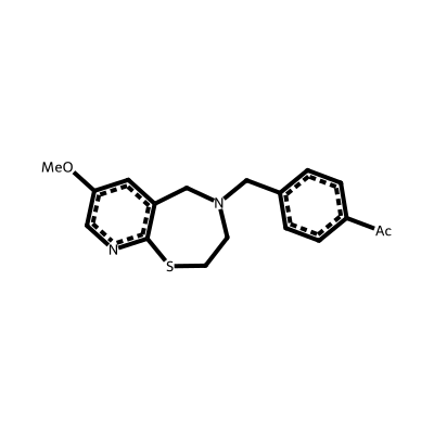 COc1cnc2c(c1)CN(Cc1ccc(C(C)=O)cc1)CCS2